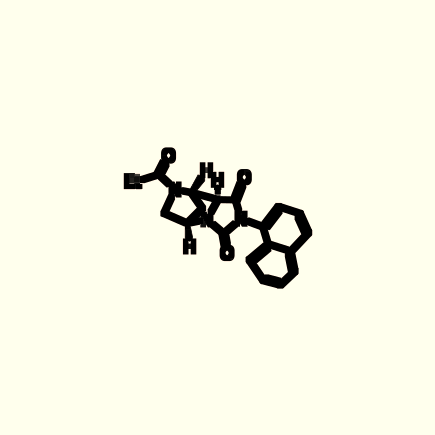 CCC(=O)N1C[C@@H]2C[C@H]1[C@H]1C(=O)N(c3cccc4ccccc34)C(=O)N21